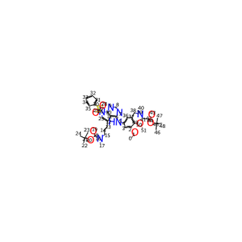 COc1cc(Nc2ncnc3c2c(CCCN(C)C(=O)OC(C)(C)C)cn3S(=O)(=O)c2ccccc2)cc(CN(C)CC(=O)OC(C)(C)C)c1OC